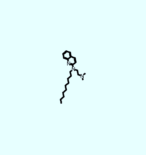 CCCCCCCCCCN(CCN(C)C)c1ccc2ccccc2n1